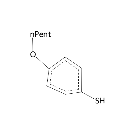 CCCCCOc1ccc(S)cc1